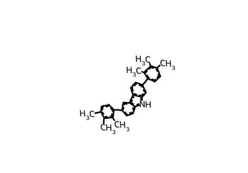 Cc1ccc(-c2ccc3c(c2)[nH]c2ccc(-c4ccc(C)c(C)c4C)cc23)c(C)c1C